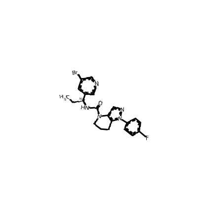 CC[C@H](NC(=O)N1CCCc2c1cnn2-c1ccc(F)cc1)c1cncc(Br)c1